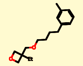 CCC1(COCCCCc2cccc(C)c2)COC1